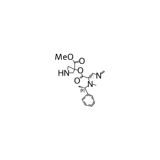 C=N/C=C(/C(=O)OC1(C(=O)OC)CNC1)N(C)[C@H](C)c1ccccc1